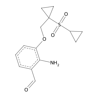 Nc1c(C=O)cccc1OCC1(S(=O)(=O)C2CC2)CC1